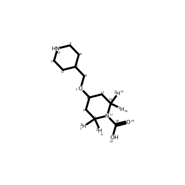 [2H]C1([2H])CC(OCC2CCNCC2)CC([2H])([2H])N1C(=O)O